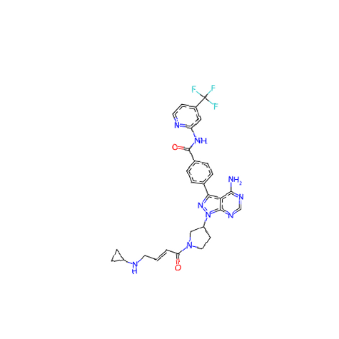 Nc1ncnc2c1c(-c1ccc(C(=O)Nc3cc(C(F)(F)F)ccn3)cc1)nn2C1CCN(C(=O)C=CCNC2CC2)C1